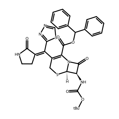 CC(C)(C)OC(=O)N[C@@H]1C(=O)N2C(C(=O)OC(c3ccccc3)c3ccccc3)=C(C(=C3CCNC3=O)c3nncs3)CS[C@H]12